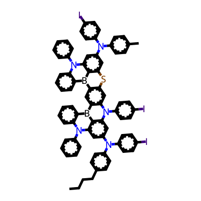 CCCCc1ccc(N(c2ccc(I)cc2)c2cc3c4c(c2)N(c2ccc(I)cc2)c2cc5c(cc2B4c2ccccc2N3c2ccccc2)B2c3ccccc3N(c3ccccc3)c3cc(N(c4ccc(C)cc4)c4ccc(I)cc4)cc(c32)S5)cc1